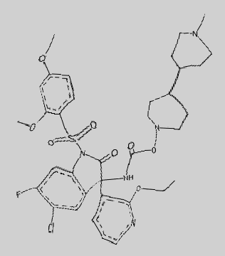 CCOc1ncccc1C1(NC(=O)ON2CCC(C3CCN(C)CC3)CC2)C(=O)N(S(=O)(=O)c2ccc(OC)cc2OC)c2cc(F)c(Cl)cc21